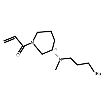 C=CC(=O)N1CCC[C@H](N(C)CCCC(C)(C)C)C1